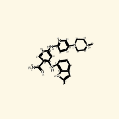 Cc1cc2cccc(Nc3cc(Nc4ccc(N5CCN(C)CC5)cn4)ncc3C(N)=O)c2o1